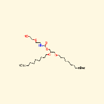 CCCCCCCCCCCCCCCCCCOCC(COC(=O)NCCOCCO)OCCCCCCCCCCCCCCCCCC